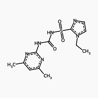 CCn1ccnc1S(=O)(=O)NC(=O)Nc1nc(C)cc(C)n1